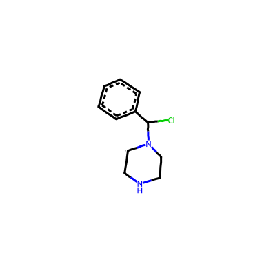 ClC(c1ccccc1)N1[CH]CNCC1